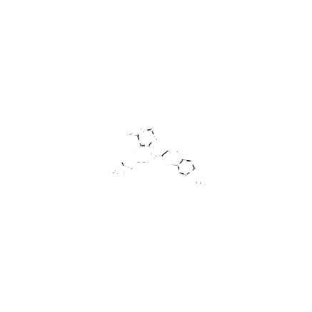 C=C(Sc1cc(OC)ccc1I)N(CCCC(=O)NO)c1ncnc(N)c1C